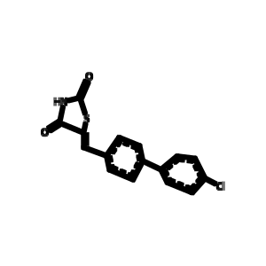 O=C1NC(=O)C(=Cc2ccc(-c3ccc(Cl)cc3)cc2)S1